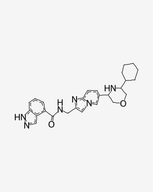 O=C(NCc1cn2cc(C3COCC(C4CCCCC4)N3)ccc2n1)c1cccc2[nH]ncc12